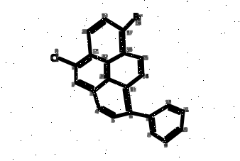 Clc1cc2ccc(-c3ccccc3)c3ccc4c(Br)ccc1c4c23